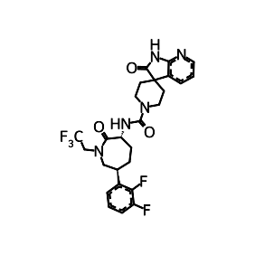 O=C(N[C@@H]1CC[C@@H](c2cccc(F)c2F)CN(CC(F)(F)F)C1=O)N1CCC2(CC1)C(=O)Nc1ncccc12